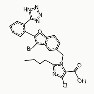 CCCCc1nc(Cl)c(C(=O)O)n1Cc1ccc2oc(-c3ccccc3-c3nnn[nH]3)c(Br)c2c1